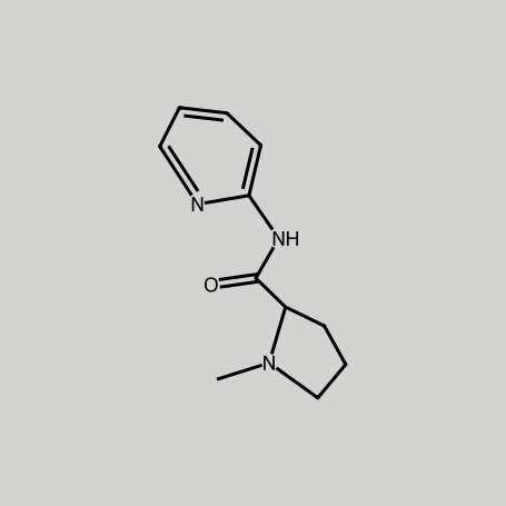 CN1CCCC1C(=O)Nc1ccccn1